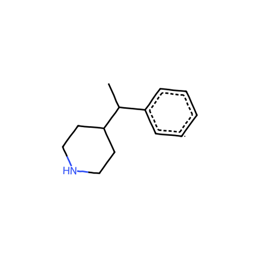 CC(c1c[c]ccc1)C1CCNCC1